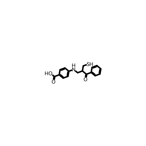 O=C(O)c1ccc(NCC(CS)C(=O)c2ccccc2)cc1